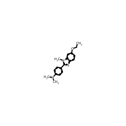 CCOc1ccc2sc(-c3ccc(N(C)C)cc3)[n+](C)c2c1